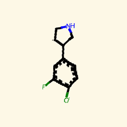 Fc1cc(C2[CH]CNC2)ccc1Cl